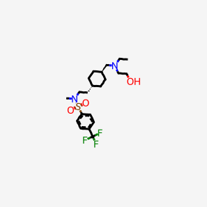 CCN(CCO)C[C@H]1CC[C@H](CCN(C)S(=O)(=O)c2ccc(C(F)(F)F)cc2)CC1